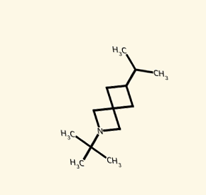 CC(C)C1CC2(C1)CN(C(C)(C)C)C2